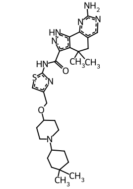 CC1(C)CCC(N2CCC(OCc3csc(NC(=O)c4n[nH]c5c4C(C)(C)Cc4cnc(N)nc4-5)n3)CC2)CC1